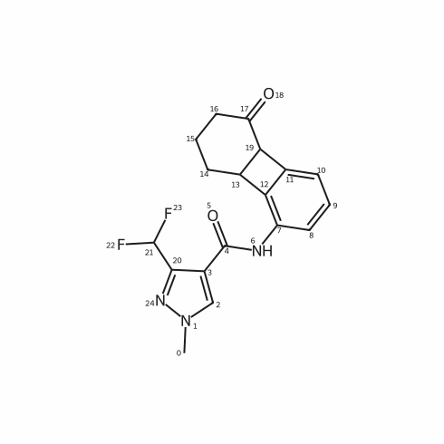 Cn1cc(C(=O)Nc2cccc3c2C2CCCC(=O)C32)c(C(F)F)n1